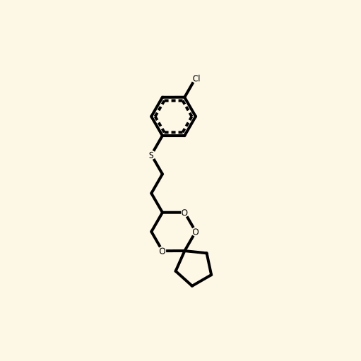 Clc1ccc(SCCC2COC3(CCCC3)OO2)cc1